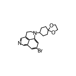 Brc1cc2c3c(cncc3c1)CCN2C1CCC2(CC1)OCCO2